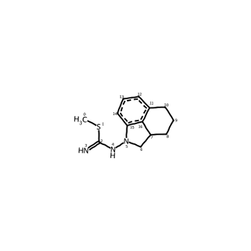 CSC(=N)NN1CC2CCCc3cccc1c32